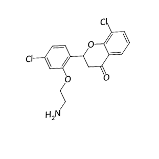 NCCOc1cc(Cl)ccc1C1CC(=O)c2cccc(Cl)c2O1